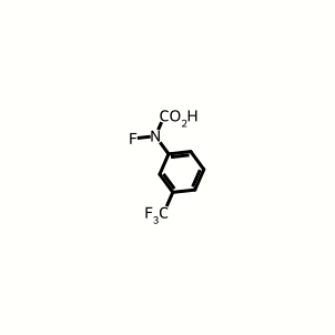 O=C(O)N(F)c1cccc(C(F)(F)F)c1